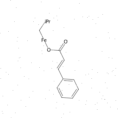 CC(C)[CH2][Fe][O]C(=O)/C=C/c1ccccc1